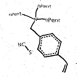 C=Cc1ccc(C[N+](CCCCC)(CCCCC)CCCCC)cc1.N#C[S-]